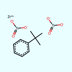 CC(C)(C)c1ccccc1.[O]=[Ti]([O-])[O-].[O]=[Ti]([O-])[O-].[Zr+4]